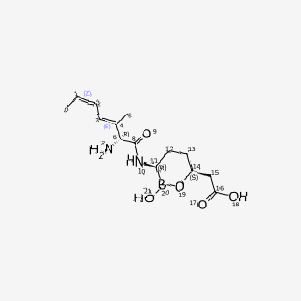 C/C=C\C=C(/C)[C@@H](N)C(=O)N[C@H]1CC[C@@H](CC(=O)O)OB1O